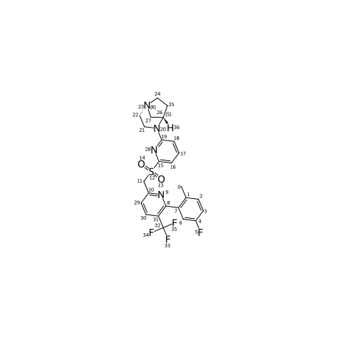 Cc1ccc(F)cc1-c1nc(CS(=O)(=O)c2cccc(N3CC[N@]4CC[C@H]3C4)n2)ccc1C(F)(F)F